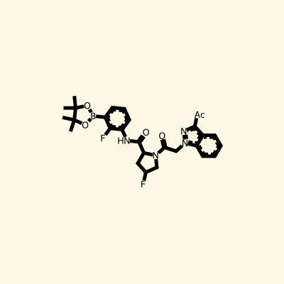 CC(=O)c1nn(CC(=O)N2CC(F)CC2C(=O)Nc2cccc(B3OC(C)(C)C(C)(C)O3)c2F)c2ccccc12